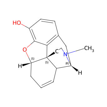 CN1CC[C@]23c4c5ccc(O)c4O[C@H]2CC=CC3[C@H]1C5